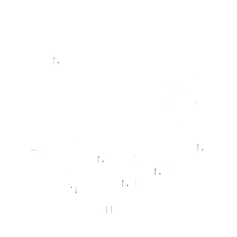 CCN1C[C@H](NC(=S)Nc2nc(-c3c(C)cc(C#N)cc3O)cnc2O)C[C@H](O[Si](c2ccccc2)(c2ccccc2)C(C)(C)C)C1